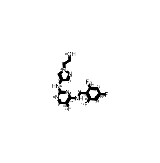 OCCn1cc(Nc2ncc(F)c(NCc3c(F)cc(F)cc3F)n2)cn1